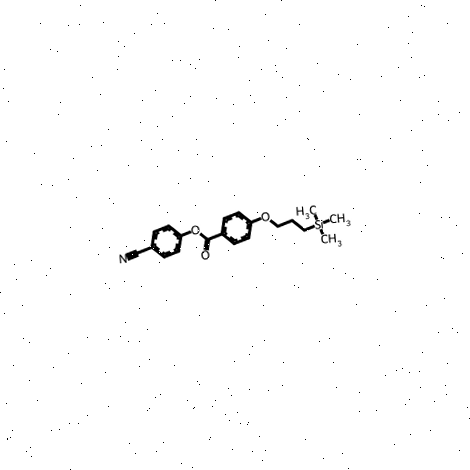 C[Si](C)(C)CCCOc1ccc(C(=O)Oc2ccc(C#N)cc2)cc1